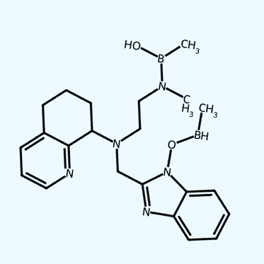 CBOn1c(CN(CCN(C)B(C)O)C2CCCc3cccnc32)nc2ccccc21